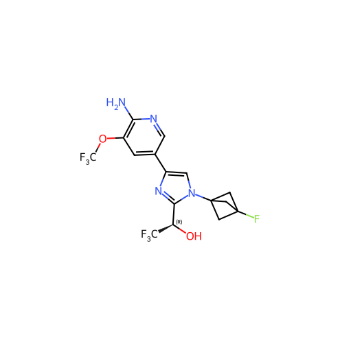 Nc1ncc(-c2cn(C34CC(F)(C3)C4)c([C@@H](O)C(F)(F)F)n2)cc1OC(F)(F)F